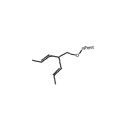 CC=CC(C=CC)COCCCCC